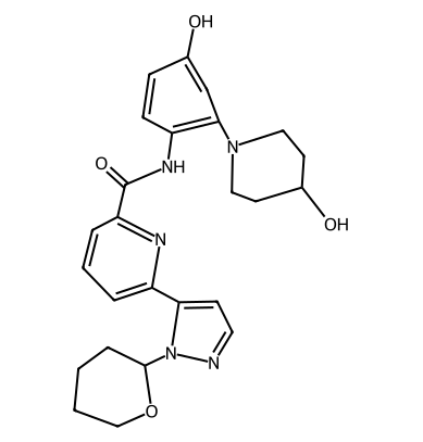 O=C(Nc1ccc(O)cc1N1CCC(O)CC1)c1cccc(-c2ccnn2C2CCCCO2)n1